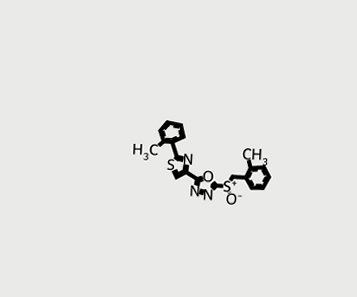 Cc1ccccc1C[S+]([O-])c1nnc(-c2csc(-c3ccccc3C)n2)o1